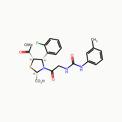 COC(=O)[C@H]1S[C@@H](C(=O)O)N(C(=O)CNC(=O)Nc2cccc(C)c2)[C@H]1c1ccccc1F